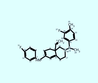 C=CC12CC=C(Nc3ccc(F)cc3)C=C1CCN(N(C)c1ccc(C)c(F)c1)C2